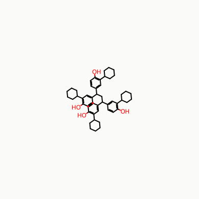 Oc1ccc(C(CC(c2ccc(O)c(C3CCCCC3)c2)c2ccc(O)c(C3CCCCC3)c2)c2ccc(O)c(C3CCCCC3)c2)cc1C1CCCCC1